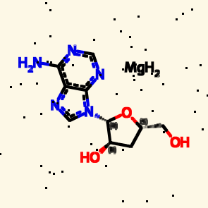 Nc1ncnc2c1ncn2[C@@H]1O[C@H](CO)C[C@H]1O.[MgH2]